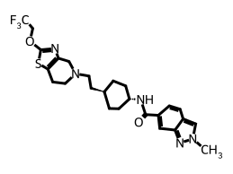 Cn1cc2ccc(C(=O)N[C@H]3CC[C@H](CCN4CCc5sc(OCC(F)(F)F)nc5C4)CC3)cc2n1